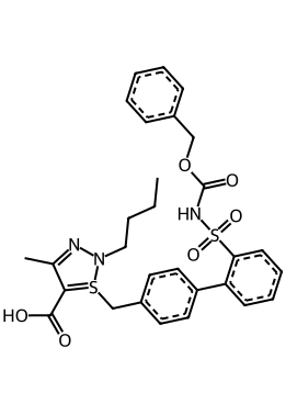 CCCCN1N=C(C)C(C(=O)O)=S1Cc1ccc(-c2ccccc2S(=O)(=O)NC(=O)OCc2ccccc2)cc1